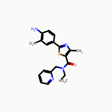 Cc1nc(-c2ccc(N)c([N+](=O)[O-])c2)sc1C(=O)N(CC(=O)O)Cc1ccccn1